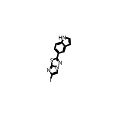 Ic1cn2nc(-c3ccc4[nH]ccc4c3)sc2n1